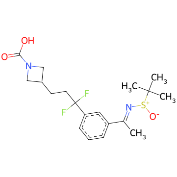 CC(=N[S+]([O-])C(C)(C)C)c1cccc(C(F)(F)CCC2CN(C(=O)O)C2)c1